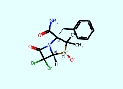 CC1(C)[S@@+]([O-])[C@H]2N(C(=O)C2(Br)Br)[C@@]1(Cc1ccccc1)C(N)=O